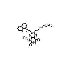 CC(=O)OCCCCCc1nc2c(=O)n(C)c(=O)n(CC(C)C)c2nc1COc1cccc2cccnc12